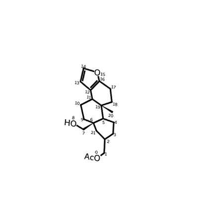 CC(=O)OCC1CCC2[C@@](CO)(CCC3c4ccoc4CC[C@@]32C)C1